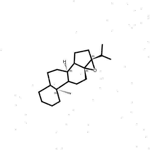 CC(C)[C@]12CCC3[C@@H]4CCC5CCCC[C@]5(C)C4CC[C@@]31O2